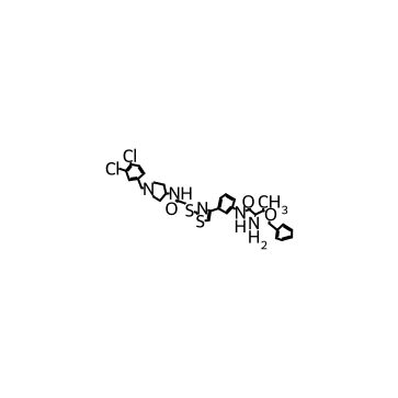 CC(OCc1ccccc1)[C@H](N)C(=O)Nc1cccc(-c2csc(SCC(=O)NC3CCN(Cc4ccc(Cl)c(Cl)c4)CC3)n2)c1